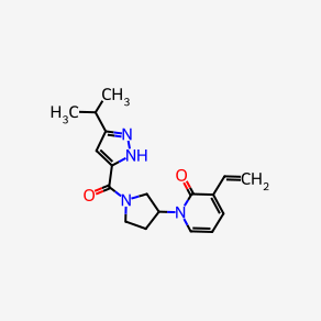 C=Cc1cccn(C2CCN(C(=O)c3cc(C(C)C)n[nH]3)C2)c1=O